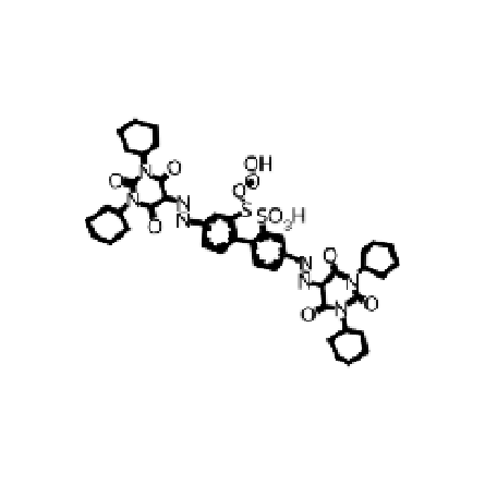 O=C1C(N=Nc2ccc(-c3ccc(N=NC4C(=O)N(C5CCCCC5)C(=O)N(C5CCCCC5)C4=O)cc3S(=O)(=O)O)c(SOOO)c2)C(=O)N(C2CCCCC2)C(=O)N1C1CCCCC1